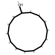 OC1CCCCC[CH]CCCCCCC1